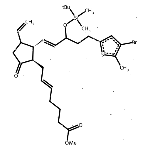 C=CC1CC(=O)[C@H](CC=CCCCC(=O)OC)[C@H]1C=CC(CCc1cc(Br)c(C)s1)O[Si](C)(C)C(C)(C)C